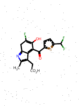 CC1=C(CC(=O)O)C2=C(C(=O)c3ccc(C(F)F)s3)C(O)=C(F)CC2=N1